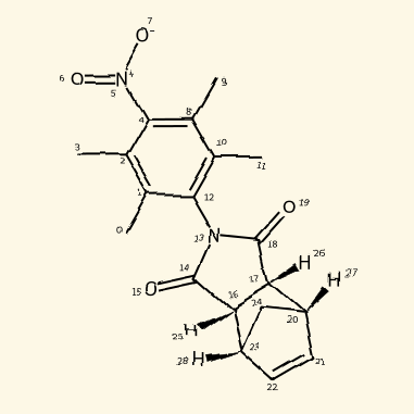 Cc1c(C)c([N+](=O)[O-])c(C)c(C)c1N1C(=O)[C@@H]2[C@H](C1=O)[C@@H]1C=C[C@H]2C1